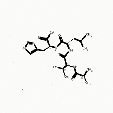 CC(C)C[C@H](NC(=O)[C@@H](NC(=O)[C@H](C)N)[C@@H](C)O)C(=O)N[C@@H](Cc1c[nH]cn1)C(=O)O